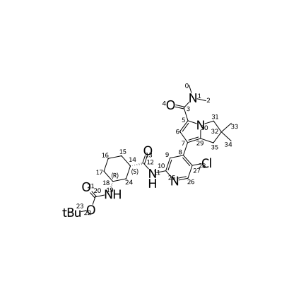 CN(C)C(=O)c1cc(-c2cc(NC(=O)[C@H]3CCC[C@@H](NC(=O)OC(C)(C)C)C3)ncc2Cl)c2n1CC(C)(C)C2